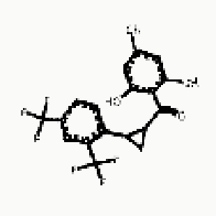 O=C(c1c(O)cc(O)cc1O)C1CC1c1ccc(C(F)(F)F)cc1C(F)(F)F